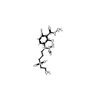 CCCS(=O)(=O)CCCN(c1ccc(F)c(C(=O)OC)c1Cl)[SH](=O)=O